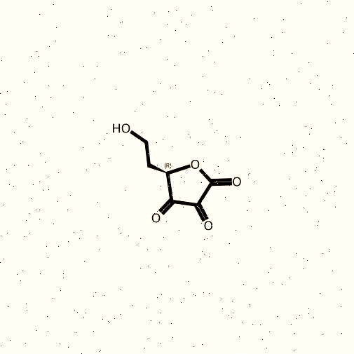 O=C1O[C@H](CCO)C(=O)C1=O